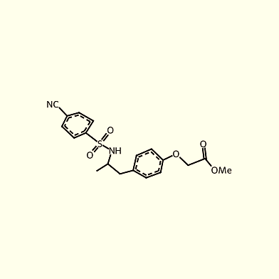 COC(=O)COc1ccc(CC(C)NS(=O)(=O)c2ccc(C#N)cc2)cc1